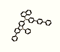 c1ccc(-c2ccc(-c3ccc(N(c4ccc5c6ccc(-c7ccccc7)cc6n(-c6ccccc6)c5c4)c4cccc5ccccc45)cc3)cc2)cc1